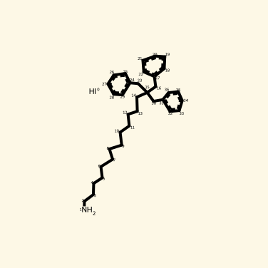 I.NCCCCCCCCCCCCCC(Cc1ccccc1)(Cc1ccccc1)Cc1ccccc1